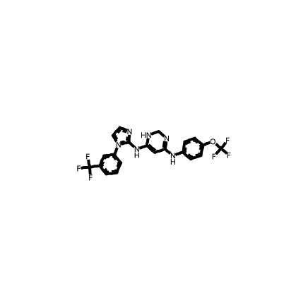 FC(F)(F)Oc1ccc(NC2=NCNC(Nc3nccn3-c3cccc(C(F)(F)F)c3)=C2)cc1